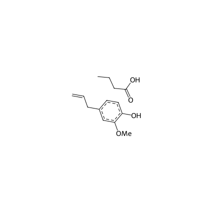 C=CCc1ccc(O)c(OC)c1.CCCC(=O)O